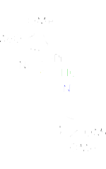 COc1ccc(CCN(C)CCSC(C#N)(c2ccc(OC)c(OC)c2)C(C)C)cc1OC.Cl